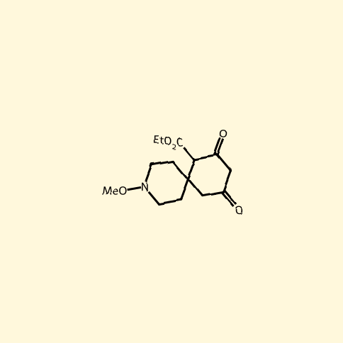 CCOC(=O)C1C(=O)CC(=O)CC12CCN(OC)CC2